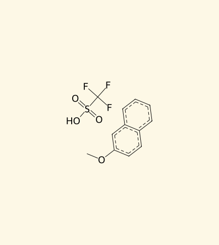 COc1ccc2ccccc2c1.O=S(=O)(O)C(F)(F)F